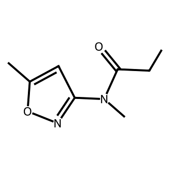 CCC(=O)N(C)c1cc(C)on1